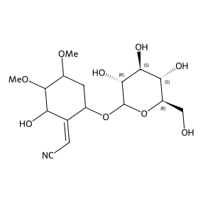 COC1CC(OC2O[C@H](CO)[C@@H](O)[C@H](O)[C@H]2O)C(=CC#N)C(O)C1OC